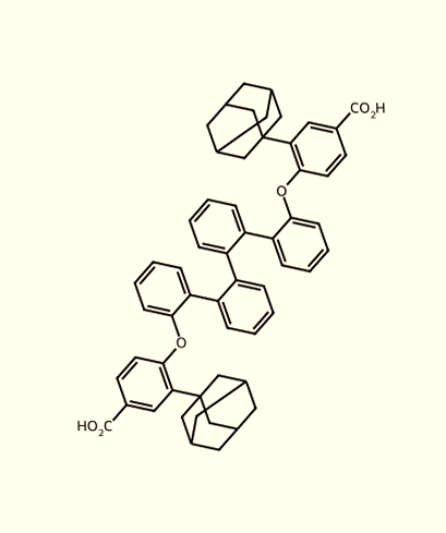 O=C(O)c1ccc(Oc2ccccc2-c2ccccc2-c2ccccc2-c2ccccc2Oc2ccc(C(=O)O)cc2C23CC4CC(CC(C4)C2)C3)c(C23CC4CC(CC(C4)C2)C3)c1